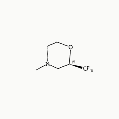 CN1CCO[C@@H](C(F)(F)F)C1